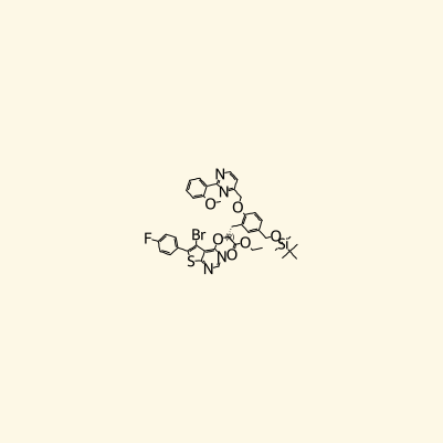 CCOC(=O)[C@@H](Cc1cc(CO[Si](C)(C)C(C)(C)C)ccc1OCc1ccnc(-c2ccccc2OC)n1)Oc1ncnc2sc(-c3ccc(F)cc3)c(Br)c12